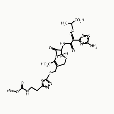 CC(ON=C(C(=O)NC1C(=O)N2C(C(=O)O)=C(CSc3nnc(CCNC(=O)OC(C)(C)C)s3)CS[C@@H]12)c1nsc(N)n1)C(=O)O